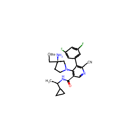 COC[C@@]1(N)CCN(c2c(C(=O)NC(C)C3CC3)cnc(C#N)c2-c2cc(F)cc(F)c2)C1